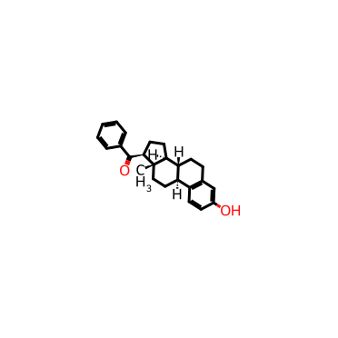 C[C@]12CC[C@@H]3c4ccc(O)cc4CC[C@H]3[C@@H]1CC[C@@H]2C(=O)c1ccccc1